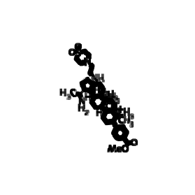 COC(=O)c1ccc(C2=CC[C@]3(C)[C@H]4CC[C@@H]5[C@H]6[C@H](C(C)N)CC[C@]6(NCCN6CCS(=O)(=O)CC6)CC[C@@]5(C)[C@]4(C)CC[C@H]3C2(C)C)cc1